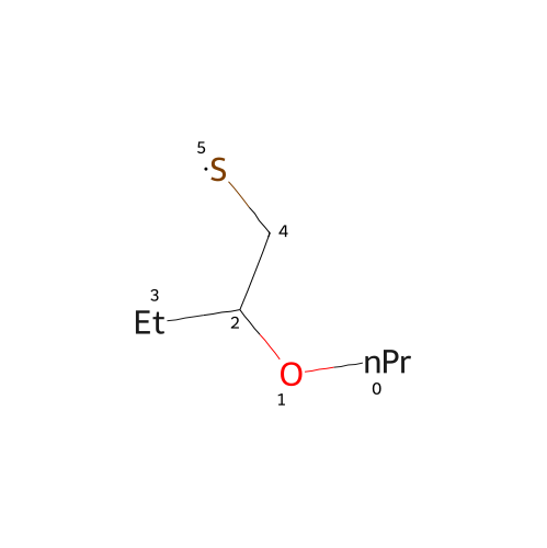 CCCOC(CC)C[S]